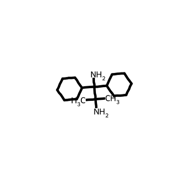 CC(C)(N)C(N)(C1CCCCC1)C1CCCCC1